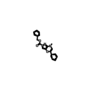 CN1C=C(c2ccccc2)Oc2cn(C(=O)OCc3ccccc3)nc21